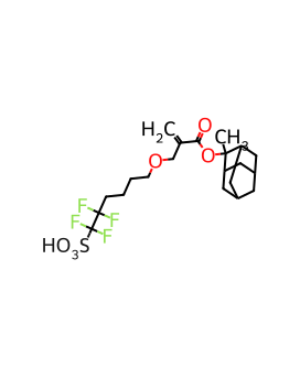 C=C(COCCCCC(F)(F)C(F)(F)S(=O)(=O)O)C(=O)OC1(C)C2CC3CC(C2)CC1C3